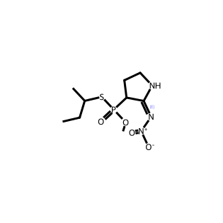 CCC(C)SP(=O)(OC)C1CCN/C1=N/[N+](=O)[O-]